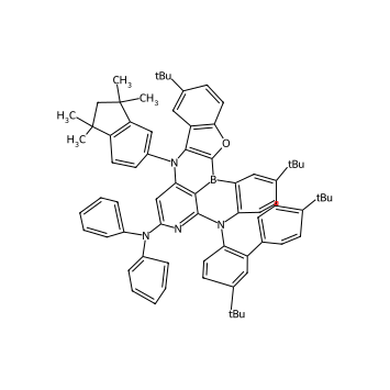 CC(C)(C)c1ccc(-c2cc(C(C)(C)C)ccc2N2c3ccc(C(C)(C)C)cc3B3c4oc5ccc(C(C)(C)C)cc5c4N(c4ccc5c(c4)C(C)(C)CC5(C)C)c4cc(N(c5ccccc5)c5ccccc5)nc2c43)cc1